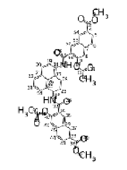 COC(=O)c1ccc2cc(OC(C)=O)c(C(=O)Nc3ccc4cccc5c4c3C=CC5NC(=O)c3cc4cc(C(=O)OC)ccc4cc3OC(C)=O)cc2c1